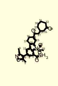 Cc1noc(C)c1-c1cc(C(N)=O)c2c(c1)c1c(n2S(C)(=O)=O)C=C(C(=O)CC2CCCCC(=O)C2)CC1